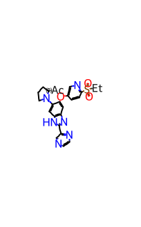 CCS(=O)(=O)c1ccc(Oc2cc3nc(-c4cnccn4)[nH]c3cc2N2CCC[C@@H]2C(C)=O)cn1